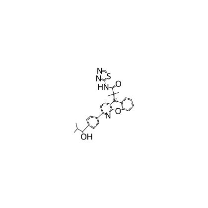 CC(C)C(O)c1ccc(-c2ccc3c(n2)Oc2ccccc2[C@@H]3C(C)(C)C(=O)Nc2nncs2)cc1